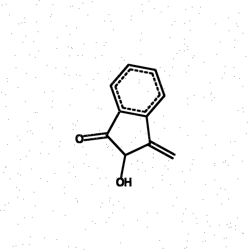 C=C1c2ccccc2C(=O)C1O